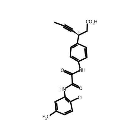 CC#C[C@@H](CC(=O)O)c1ccc(NC(=O)C(=O)Nc2cc(C(F)(F)F)ccc2Cl)cc1